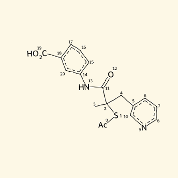 CC(=O)SC(C)(Cc1cccnc1)C(=O)Nc1cccc(C(=O)O)c1